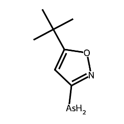 CC(C)(C)c1cc([AsH2])no1